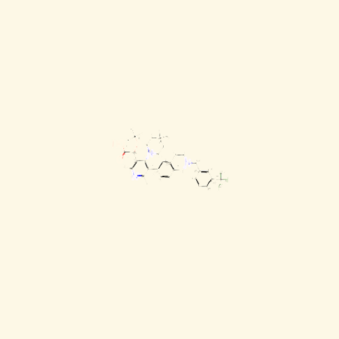 Cc1nc(C)c(C(OC(C)(C)C)C(=O)O)c(N2CCC(C)(C)CC2)c1-c1ccc2c(c1)CCN(Cc1cccc(C(F)(F)F)c1)C2